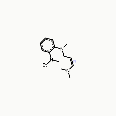 CCN(C)c1ccccc1N(C)C/C=C\N(C)C